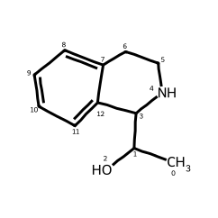 CC(O)C1NCCc2ccccc21